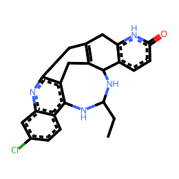 CCC1Nc2c3c(nc4cc(Cl)ccc24)CC2=C(C3)C(N1)c1ccc(=O)[nH]c1C2